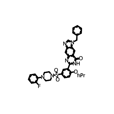 CCCOc1ccc(S(=O)(=O)N2CCN(c3ccccc3F)CC2)cc1-c1nc2cc3ncn(Cc4ccccc4)c3cc2c(=O)[nH]1